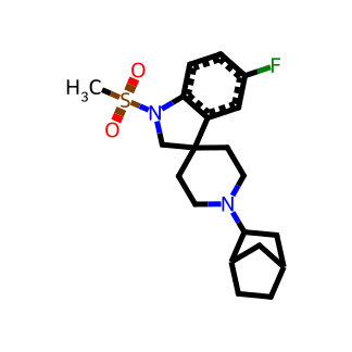 CS(=O)(=O)N1CC2(CCN(C3CC4CCC3C4)CC2)c2cc(F)ccc21